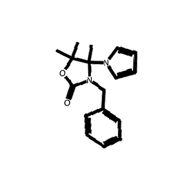 CC1(C)OC(=O)N(Cc2ccccc2)C1(C)n1cccc1